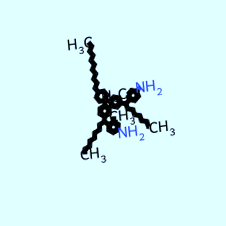 CCCCCCCCCCCC1CCC(c2ccc(C(CCCCCCCC)c3ccc(N)cc3C)cc2)(c2ccc(C(CCCCCCCC)c3ccc(N)cc3C)cc2)CC1